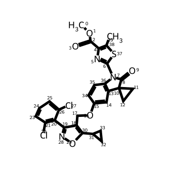 COC(=O)c1nc(N2C(=O)C3(CC3)c3cc(OCc4c(-c5c(Cl)cccc5Cl)noc4C4CC4)ccc32)sc1C